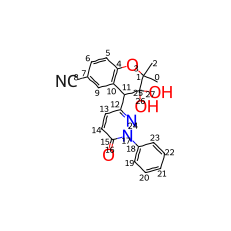 CC1(C)Oc2ccc(C#N)cc2C(c2ccc(=O)n(-c3ccccc3)n2)C1(O)O